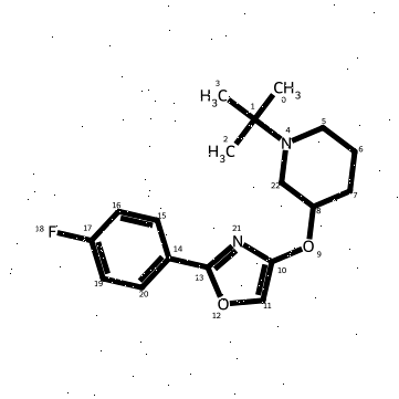 CC(C)(C)N1CCCC(Oc2coc(-c3ccc(F)cc3)n2)C1